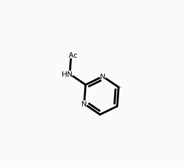 CC(=O)Nc1n[c]ccn1